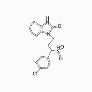 O=c1[nH]c2ccccc2n1CCC(c1ccc(Cl)cc1)[SH](=O)=O